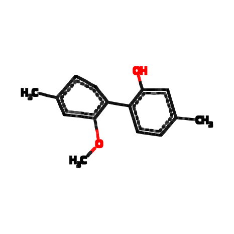 COc1cc(C)ccc1-c1ccc(C)cc1O